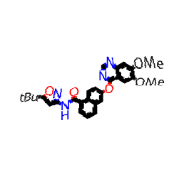 COc1cc2ncnc(Oc3ccc4c(C(=O)Nc5cc(C(C)(C)C)on5)cccc4c3)c2cc1OC